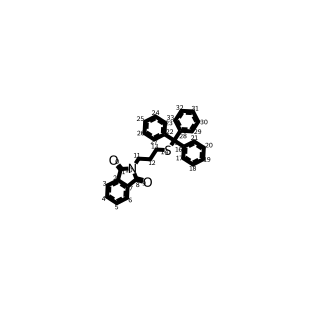 O=C1c2ccccc2C(=O)N1CCCSC(c1ccccc1)(c1ccccc1)c1ccccc1